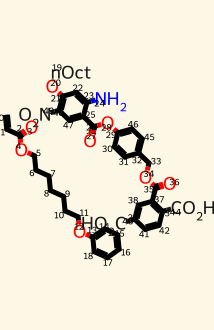 C=CC(=O)OCCCCCCCOc1ccccc1.CCCCCCCCOc1cc(N)c(C(=O)Oc2ccc(COC(=O)c3cc(C(=O)O)ccc3C(=O)O)cc2)cc1[N+](=O)[O-]